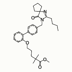 CCCCC1=NC2(CCCC2)C(=O)N1Cc1ccc(-c2ccccc2OCCCC(C)(C)C(=O)OC)cc1